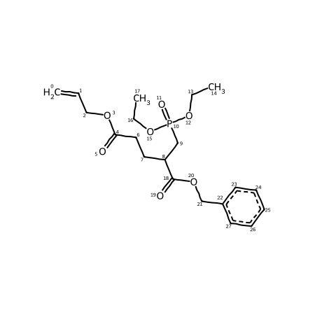 C=CCOC(=O)CCC(CP(=O)(OCC)OCC)C(=O)OCc1ccccc1